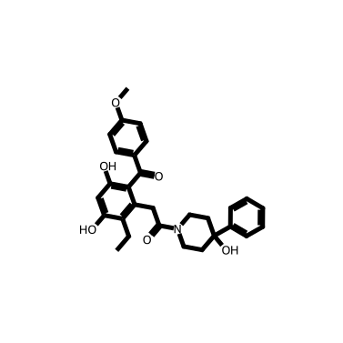 CCc1c(O)cc(O)c(C(=O)c2ccc(OC)cc2)c1CC(=O)N1CCC(O)(c2ccccc2)CC1